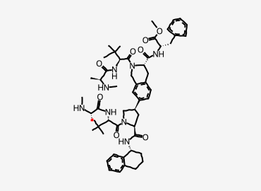 CN[C@@H](C)C(=O)N[C@H](C(=O)N1Cc2cc([C@H]3C[C@@H](C(=O)N[C@@H]4CCCc5ccccc54)N(C(=O)[C@@H](NC(=O)[C@H](C)NC)C(C)(C)C)C3)ccc2C[C@H]1C(=O)N[C@@H](Cc1ccccc1)C(=O)OC)C(C)(C)C